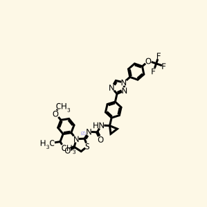 COc1ccc(N2C(=O)CS/C2=N\C(=O)NC2(c3ccc(-c4ncn(-c5ccc(OC(F)(F)F)cc5)n4)cc3)CC2)c(C(C)C)c1